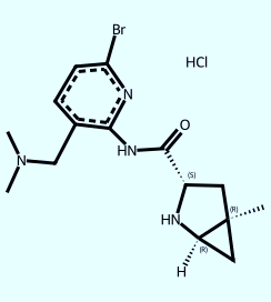 CN(C)Cc1ccc(Br)nc1NC(=O)[C@@H]1C[C@@]2(C)C[C@H]2N1.Cl